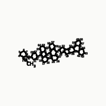 Cc1nc2ccccc2n1-c1ccc(-c2c3ccccc3c(-c3c4ccccc4c(-c4ccc5c(c4)sc4cc6c7ccccc7c7ccccc7c6cc45)c4ccccc34)c3ccccc23)cc1